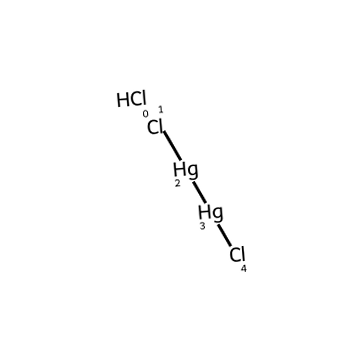 Cl.[Cl][Hg][Hg][Cl]